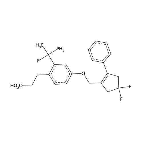 CC(F)(P)c1cc(OCC2=C(c3ccccc3)CC(F)(F)C2)ccc1CCC(=O)O